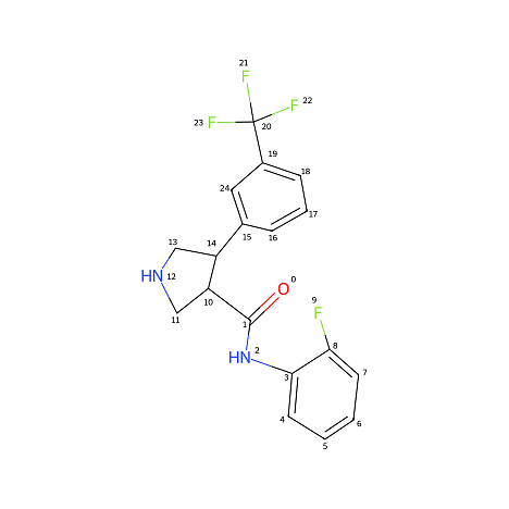 O=C(Nc1ccccc1F)C1CNCC1c1cccc(C(F)(F)F)c1